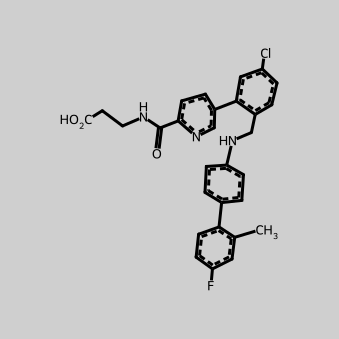 Cc1cc(F)ccc1-c1ccc(NCc2ccc(Cl)cc2-c2ccc(C(=O)NCCC(=O)O)nc2)cc1